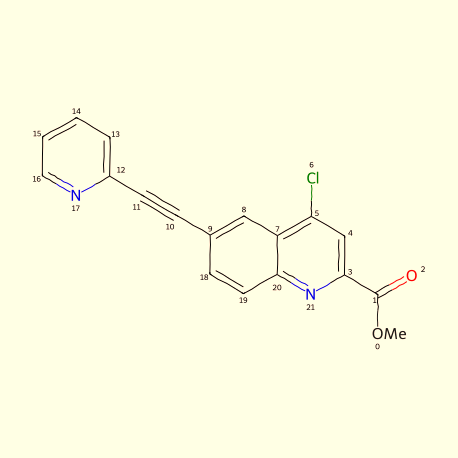 COC(=O)c1cc(Cl)c2cc(C#Cc3ccccn3)ccc2n1